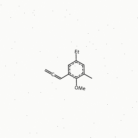 C=C=Cc1cc(CC)cc(C)c1OC